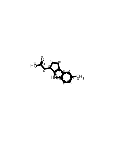 Cc1ccc2[nH]c3c(c2c1)CCC3CC(=O)O